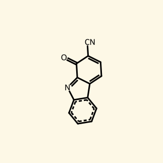 N#CC1=CC=C2C(=Nc3ccccc32)C1=O